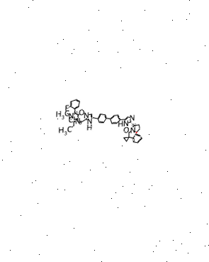 CCCN(Cc1ncc(-c2ccc(-c3ccc(-c4cnc([C@@H]5CCCN5C(=O)C5(c6ccccc6)CC5)[nH]4)cc3)cc2)[nH]1)C(=O)[C@@H](c1ccccc1F)N(C)C